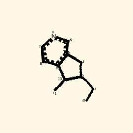 CCC1Cc2cnccc2C1C